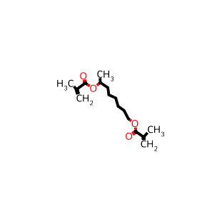 C=C(C)C(=O)OCCCCCCC(C)OC(=O)C(=C)C